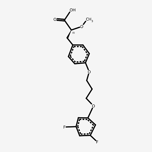 CO[C@@H](Cc1ccc(OCCCOc2cc(F)cc(F)c2)cc1)C(=O)O